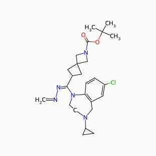 C=N/N=C(/C1CC2(C1)CN(C(=O)OC(C)(C)C)C2)N1CCN(C2CC2)Cc2cc(Cl)ccc21